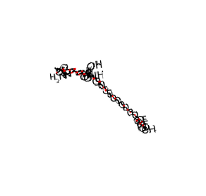 CCCN(OCC)C(=O)C1=Cc2ccc(-c3ccc(C(=O)N4C[C@H](O)C[C@H]4C(=O)NCCOCCOCCOCCOCCOCCOCCOCCOCCOCCOCCC(=O)Oc4c(F)c(F)c(S(=O)(=O)O)c(F)c4F)cc3)cc2N=C(N)C1